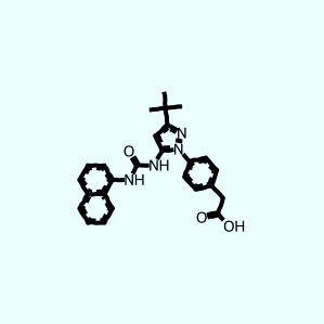 CC(C)(C)c1cc(NC(=O)Nc2cccc3ccccc23)n(-c2ccc(CC(=O)O)cc2)n1